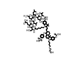 CC(=O)C(C)NC(=O)C(CC(=O)O)NC(=O)C(CC(C)C)NC(=O)C(CC(N)=O)NC(=O)C(NC(=O)C(CCC(=O)O)NC(=O)C(CO)NC(=O)CCCCC[N+]1=C(/C=C/C2=C(Oc3ccc(S(=O)(=O)O)cc3)C(=C/C=C3/N(CCCCSOOO)c4ccc(OS(=O)O)cc4C3(C)C)/CCC2)C(C)(C)c2cc(S(=O)(=O)O)ccc21)C(C)C